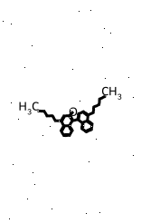 CCCCCCc1cc2oc3cc(CCCCCC)c4ccccc4c3c2c2ccccc12